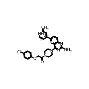 C=C/C=C(\C=C/N)c1ccc2nc(N)nc(N3CCN(C(=O)COc4ccc(Cl)cc4)CC3)c2n1